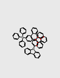 c1ccc([Si](c2ccccc2)(c2ccccc2)c2ccc(-n3c4ccccc4c4ccccc43)c(-c3ccccc3-n3c4ccccc4c4cc(-n5c6ccccc6c6ccccc65)ccc43)c2)cc1